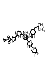 CN(C)CC1CCC(NC2=CC(N)(c3ccnc(-c4cnn(S(=O)(=O)C5CC5)c4)n3)NC=C2c2cnc(N3CCC(F)(F)CC3)cn2)CC1